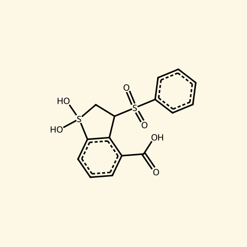 O=C(O)c1cccc2c1C(S(=O)(=O)c1ccccc1)CS2(O)O